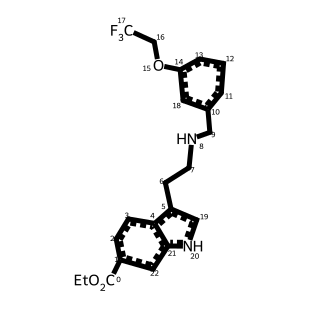 CCOC(=O)c1ccc2c(CCNCc3cccc(OCC(F)(F)F)c3)c[nH]c2c1